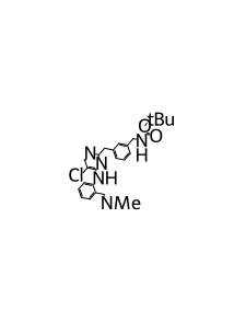 CNCc1ccccc1Nc1nc(Cc2cccc(CNC(=O)OC(C)(C)C)c2)ncc1Cl